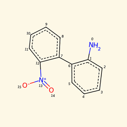 Nc1ccccc1-c1ccccc1[N+](=O)[O-]